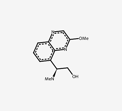 CN[C@H](CO)c1cccc2ncc(OC)nc12